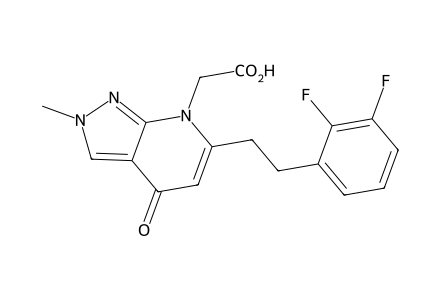 Cn1cc2c(=O)cc(CCc3cccc(F)c3F)n(CC(=O)O)c2n1